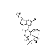 COc1c(-c2cc(F)cc3c2ccn3CCO)c(F)cc2c1-n1c(C)nnc1C(C)(C)N2